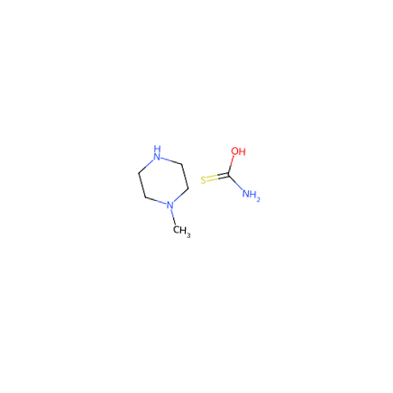 CN1CCNCC1.NC(O)=S